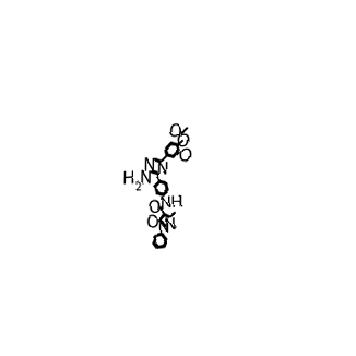 COc1cc(-c2cnc(N)c(-c3ccc(NC(=O)c4c(C)n(C)n(-c5ccccc5)c4=O)cc3)n2)ccc1OC(C)=O